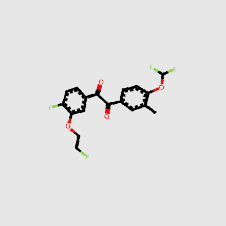 Cc1cc(C(=O)C(=O)c2ccc(F)c(OCCF)c2)ccc1OC(F)F